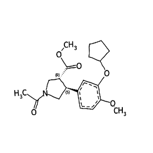 COC(=O)[C@H]1CN(C(C)=O)C[C@@H]1c1ccc(OC)c(OC2CCCC2)c1